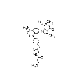 Cc1cn(-c2ccc(C(N)=O)c(N[C@H]3CC[C@H](OC(=O)CNC(=O)CCN)CC3)c2)c2c1C(=O)CC(C)(C)C2